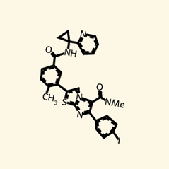 CNC(=O)c1c(-c2ccc(I)cc2)nc2sc(-c3cc(C(=O)NC4(c5ccccn5)CC4)ccc3C)cn12